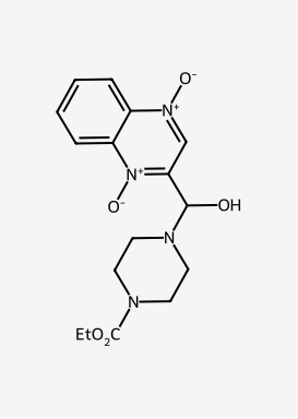 CCOC(=O)N1CCN(C(O)c2c[n+]([O-])c3ccccc3[n+]2[O-])CC1